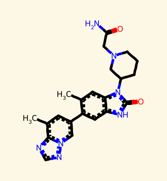 Cc1cc2c(cc1-c1cc(C)c3ncnn3c1)[nH]c(=O)n2C1CCCN(CC(N)=O)C1